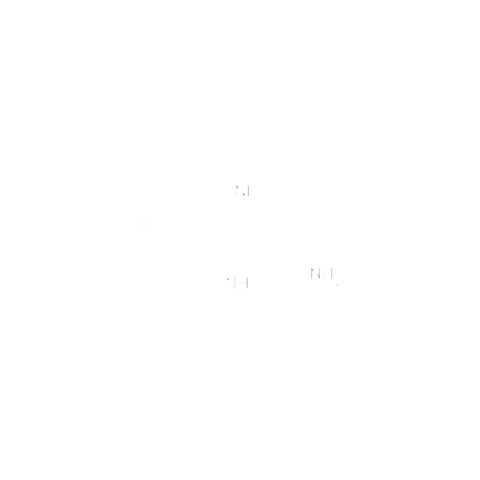 NCCC(N)=C=O.[AlH3]